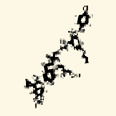 CCCSc1nc(NCCOCC(C)(C)c2cc3cc(NC(=O)C4(c5ccc6c(c5)OC(F)(F)O6)CC4)c(F)cc3n2C[C@@H](O)CO)c2nnn(Cc3ccc(Cl)cc3)c2n1